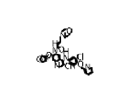 N#Cc1cnc2cc(O[C@H]3CCOC3)c(NC(=O)C=CCN3CCOCC3)cc2c1Nc1ccc(OCc2ccccn2)c(Cl)c1